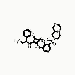 CCC(Nc1c(Nc2cccc(S(=O)(=O)N3CCN4CCOCC4C3)c2O)c(=O)c1=O)c1ccccc1